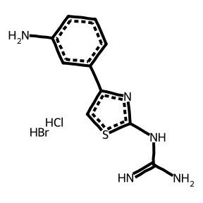 Br.Cl.N=C(N)Nc1nc(-c2cccc(N)c2)cs1